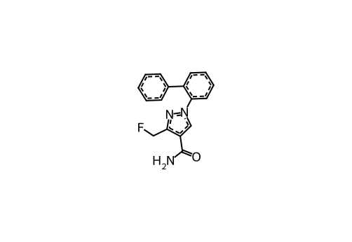 NC(=O)c1cn(-c2ccccc2-c2ccccc2)nc1CF